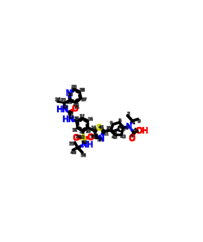 CC(C)N(C(=O)O)C12CCC(c3ncc(-c4ccc(NC(=O)N[C@@H](C)c5ccccn5)cc4S(=O)(=O)NC(C)(C)C)s3)(CC1)CC2